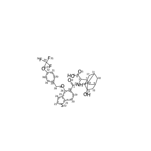 O=C(NC(C(=O)O)C12CC3CC(CC(O)(C3)C1)C2)c1ccc2sccc2c1OCc1ccc(OC(F)(F)F)cc1